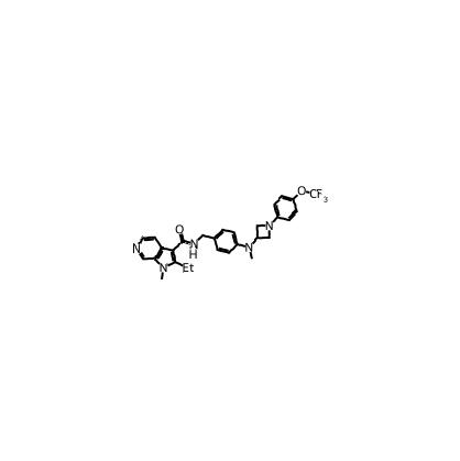 CCc1c(C(=O)NCc2ccc(N(C)C3CN(c4ccc(OC(F)(F)F)cc4)C3)cc2)c2ccncc2n1C